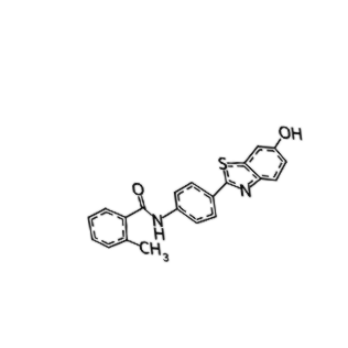 Cc1ccccc1C(=O)Nc1ccc(-c2nc3ccc(O)cc3s2)cc1